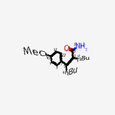 CCCCC(C(N)=O)=C(CCCC)c1ccc(OC)cc1